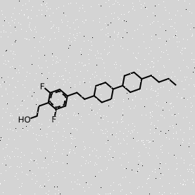 CCCCC1CCC(C2CCC(CCc3cc(F)c(CCO)c(F)c3)CC2)CC1